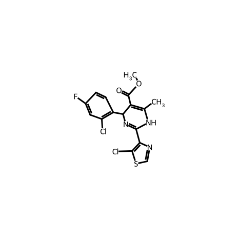 COC(=O)C1=C(C)NC(c2ncsc2Cl)=NC1c1ccc(F)cc1Cl